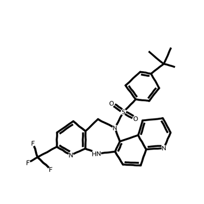 CC(C)(C)c1ccc(S(=O)(=O)N2Cc3ccc(C(F)(F)F)nc3Nc3ccc4ncccc4c32)cc1